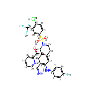 N=CC1=C(Nc2ccc(F)cc2)C=C2CCN(S(=O)(=O)c3ccc(Cl)c(C(F)(F)F)c3)C[C@@]2(C(=O)c2ccccn2)C1